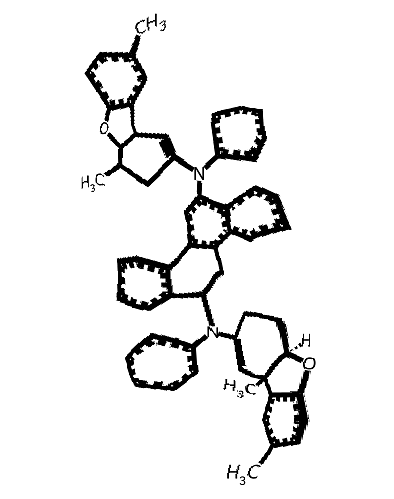 Cc1ccc2c(c1)C1C=C(N(c3ccccc3)c3cc4c(c5ccccc35)CC(N(C3=CC5(C)c6cc(C)ccc6O[C@@H]5CC3)c3ccccc3)c3ccccc3-4)CC(C)C1O2